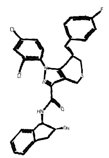 O=C(N[C@@H]1c2ccccc2C[C@@H]1O)c1nn(-c2ccc(Cl)cc2Cl)c2c1CSC/C2=C\c1ccc(F)cc1